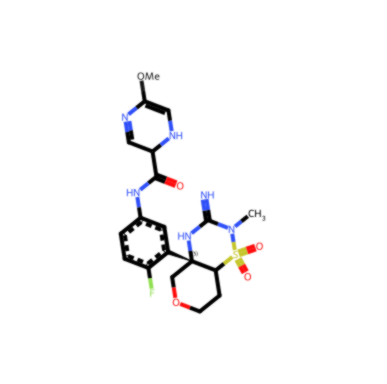 COC1=CNC(C(=O)Nc2ccc(F)c([C@]34COCCC3S(=O)(=O)N(C)C(=N)N4)c2)C=N1